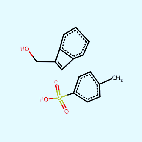 Cc1ccc(S(=O)(=O)O)cc1.OCC1=Cc2ccccc21